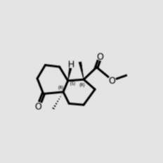 COC(=O)[C@]1(C)CCC[C@@]2(C)C(=O)CCC[C@@H]21